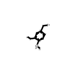 CCc1cc(CI)ccc1OC